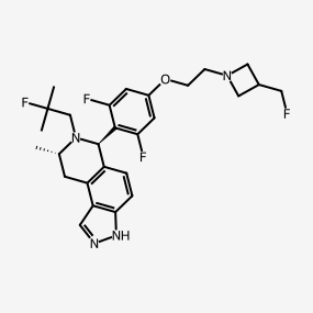 C[C@H]1Cc2c(ccc3[nH]ncc23)[C@H](c2c(F)cc(OCCN3CC(CF)C3)cc2F)N1CC(C)(C)F